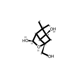 CC1(C)C2C3[C@](CO)(C[C@]31O)O[C@H]2O